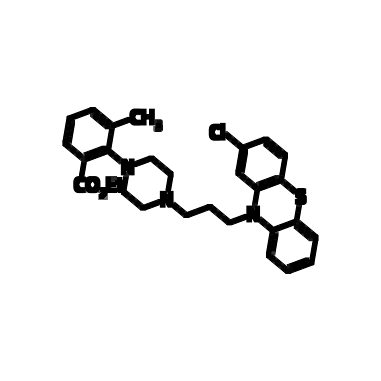 CCOC(=O)c1cccc(C)c1N1CCN(CCCN2c3ccccc3Sc3ccc(Cl)cc32)CC1